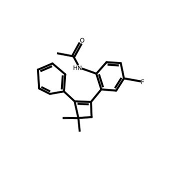 CC(=O)Nc1ccc(F)cc1C1=C(c2ccccc2)C(C)(C)C1